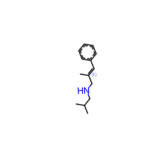 C/C(=C\c1ccccc1)CNCC(C)C